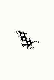 COc1cc(OC)c(C2CC2)c(-c2cc3cnc(N)cc3cn2)c1F